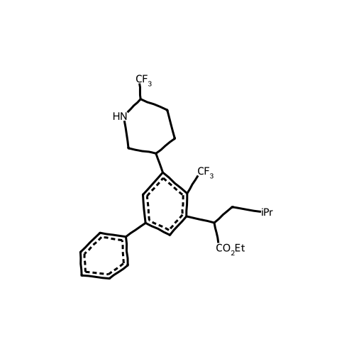 CCOC(=O)C(CC(C)C)c1cc(-c2ccccc2)cc(C2CCC(C(F)(F)F)NC2)c1C(F)(F)F